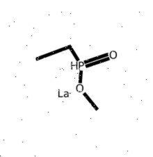 CC[PH](=O)OC.[La]